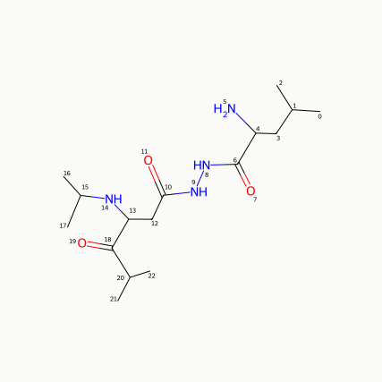 CC(C)CC(N)C(=O)NNC(=O)CC(NC(C)C)C(=O)C(C)C